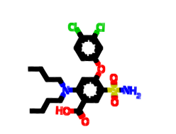 CCCCN(CCCC)c1cc(Oc2ccc(Cl)c(Cl)c2)c(S(N)(=O)=O)cc1C(=O)O